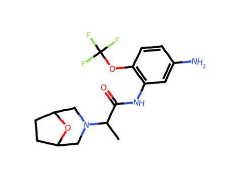 CC(C(=O)Nc1cc(N)ccc1OC(F)(F)F)N1CC2CCC(C1)O2